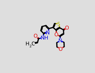 C=CC(=O)Nc1cccc(-c2csc3c(=O)cc(N4CCOCC4)oc23)n1